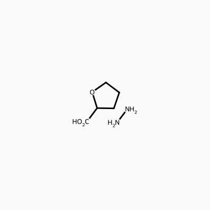 NN.O=C(O)C1CCCO1